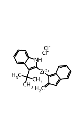 C=C1C=c2ccccc2=[C]1[Zr+2][c]1[nH]c2ccccc2c1C(C)(C)C.[Cl-].[Cl-]